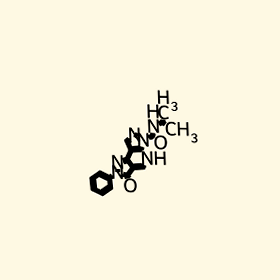 CC(C)NC(=O)n1ncc2c3nn(-c4ccccc4)c(=O)c-3c[nH]c21